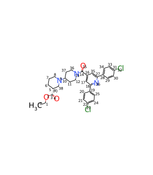 CCOC(=O)[C@@H]1CCCN(C2CCN(C(=O)c3cc(-c4ccc(Cl)cc4)nc(-c4ccc(Cl)cc4)c3)CC2)C1